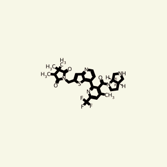 Cc1cc(C(F)(F)F)nc(-c2ccnc3cc(CN4C(=O)C(C)C(C)(C)C4=O)sc23)c1C(=O)N1CC[C@@H]2CNC[C@@H]21